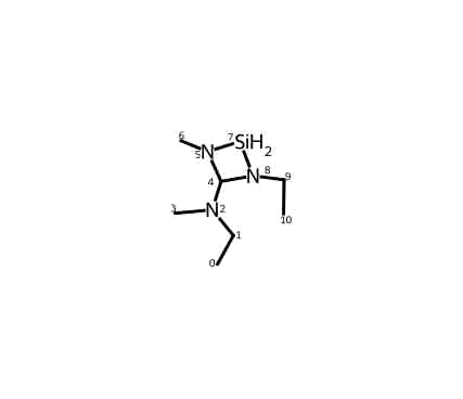 CCN(C)C1N(C)[SiH2]N1CC